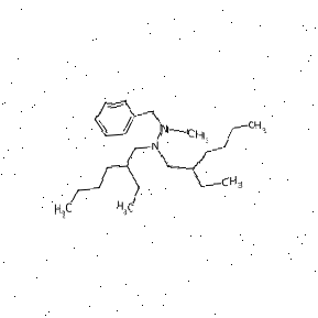 CCCCC(CC)CN(CC(CC)CCCC)N(C)Cc1ccccc1